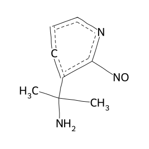 CC(C)(N)c1cccnc1N=O